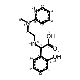 CN(CCNC(C(=O)O)c1ccccc1O)c1ccccn1